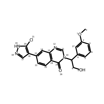 COc1cccc(C(CO)n2cnc3cc(-c4cn[nH]c4Cl)ccc3c2=O)c1